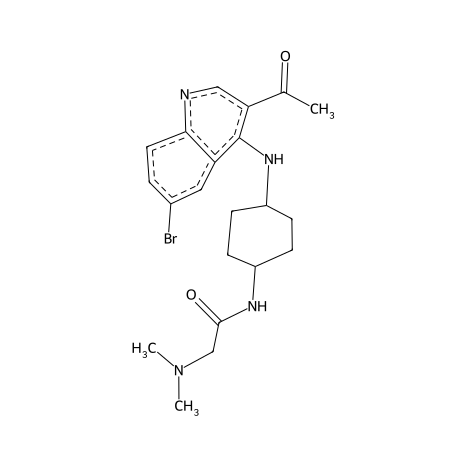 CC(=O)c1cnc2ccc(Br)cc2c1NC1CCC(NC(=O)CN(C)C)CC1